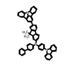 CC1(C)c2cc(-c3cc4c5ccccc5n5c6ccccc6c(c3)c45)ccc2-c2ccc(N(c3ccc(-c4ccccc4)cc3)c3ccc(-n4c5ccccc5c5ccccc54)cc3)cc21